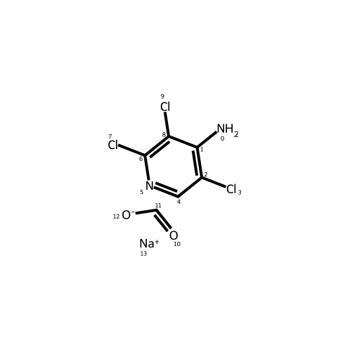 Nc1c(Cl)cnc(Cl)c1Cl.O=C[O-].[Na+]